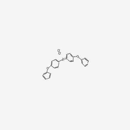 [Cl-].[Cl-].c1ccc(Oc2cc[c]([Zr+2][c]3ccc(Oc4ccccc4)cc3)cc2)cc1